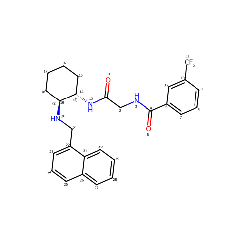 O=C(CNC(=O)c1cccc(C(F)(F)F)c1)N[C@H]1CCCC[C@@H]1NCc1cccc2ccccc12